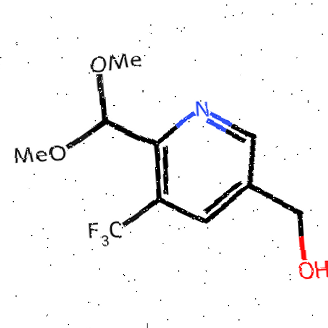 COC(OC)c1ncc(CO)cc1C(F)(F)F